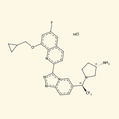 Cl.N[C@H]1CCN([C@H](c2ccc3nnc(-c4ccc5cc(F)cc(OCC6CC6)c5n4)n3c2)C(F)(F)F)C1